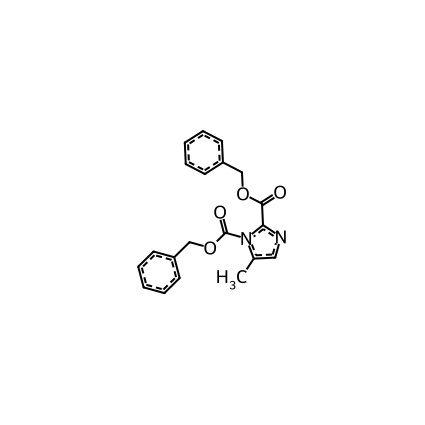 Cc1cnc(C(=O)OCc2ccccc2)n1C(=O)OCc1ccccc1